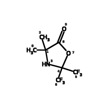 CC1(C)NC(C(F)(F)F)(C(F)(F)F)OC1=O